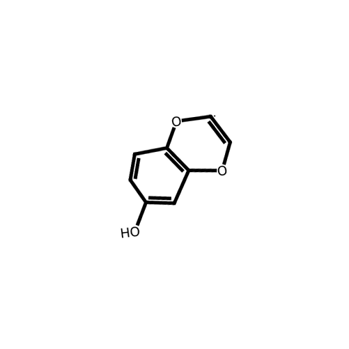 Oc1ccc2c(c1)OC=[C]O2